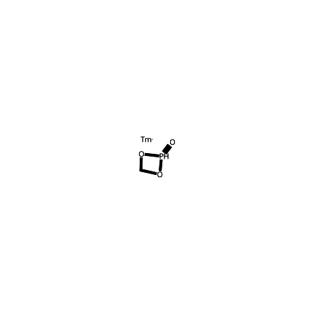 O=[PH]1OCO1.[Tm]